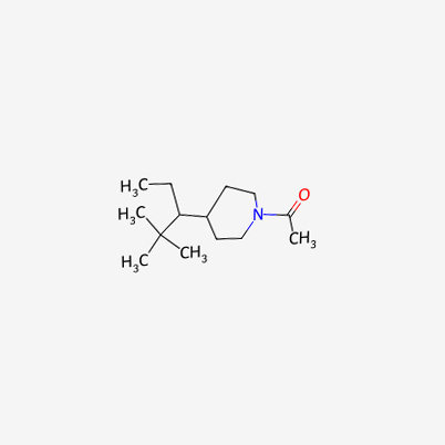 CCC(C1CCN(C(C)=O)CC1)C(C)(C)C